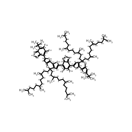 CC(C)CCCC(C)CCCC(C)CCC1(CCC(C)CCCC(C)CCCC(C)C)Oc2cc(-c3c(F)c(F)c(C(C)(C)C)c4nsnc34)sc2-c2sc(-c3c(F)c(F)c(-c4cc5c(s4)-c4sc(C(C)(C)C)cc4OC5(CCC(C)CCCC(C)CCCC(C)C)CCC(C)CCCC(C)CCCC(C)C)c4nsnc34)cc21